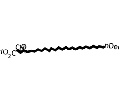 CCCCCCCCCCCCCCCCCCCCCCCCCCCCCCCCCC(=O)C=C(C)C(=O)O